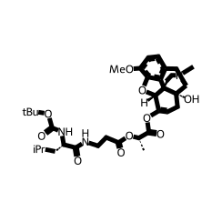 COc1ccc2c3c1O[C@H]1C(OC(=O)[C@H](C)OC(=O)CCNC(=O)[C@H](CC(C)C)NC(=O)OC(C)(C)C)=CC[C@]4(O)C(C2)N(C)CC[C@]314